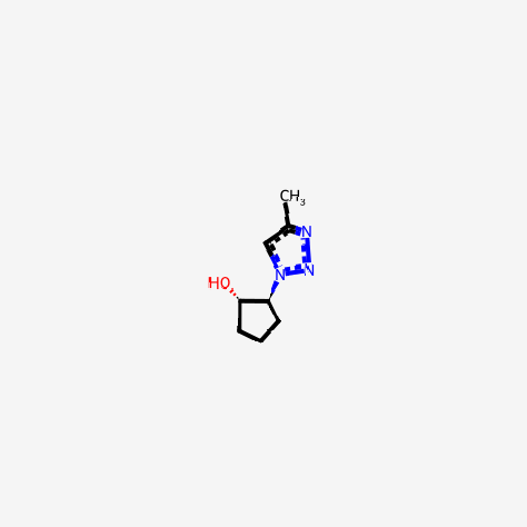 Cc1cn([C@H]2CCC[C@@H]2O)nn1